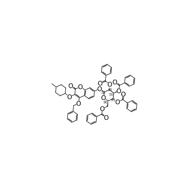 CC1CCC(Oc2c(OCc3ccccc3)c3ccc(O[C@@H]4O[C@H](COC(=O)c5ccccc5)[C@@H](OC(=O)c5ccccc5)[C@H](OC(=O)c5ccccc5)[C@H]4OC(=O)c4ccccc4)cc3oc2=O)CC1